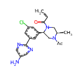 C=CC(=O)N1C[C@@H](C)N(C(C)=O)C[C@H]1c1cc(Cl)cc(-c2ncc(N)cn2)c1